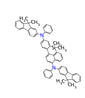 CC1(C)c2ccccc2-c2ccc(N(c3ccccc3)c3ccc4c(c3)[Si](C)(C)c3cccc5c(N(c6ccccc6)c6ccc7c(c6)C(C)(C)c6ccccc6-7)ccc-4c35)cc21